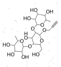 C#CCOC1OC(CO)C(OC2OC(C)C(O)C(O)C2O)C(O)C1OC1OC(C)C(O)C(O)C1O